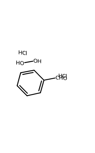 Cl.Cl.O=Cc1ccccc1.OO